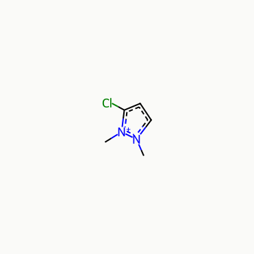 Cn1ccc(Cl)[n+]1C